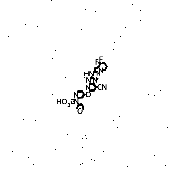 Cn1c(Nc2cc3n(n2)CCCC3(F)F)nc2nc(Oc3ccnc(N(C(=O)O)[C@H]4CCOC4)c3)cc(C#N)c21